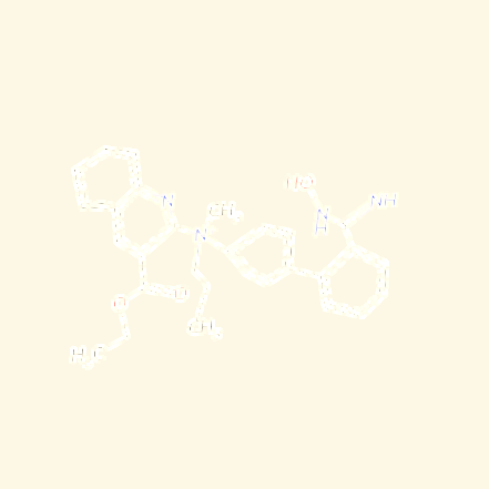 CCC[N+](C)(c1ccc(-c2ccccc2C(=N)NO)cc1)c1nc2ccccc2cc1C(=O)OCC